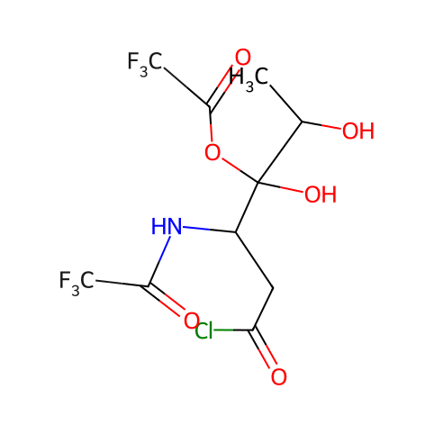 CC(O)C(O)(OC(=O)C(F)(F)F)C(CC(=O)Cl)NC(=O)C(F)(F)F